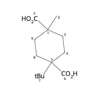 CC1(C(=O)O)CCC(C(=O)O)(C(C)(C)C)CC1